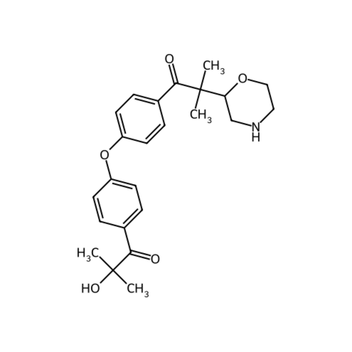 CC(C)(O)C(=O)c1ccc(Oc2ccc(C(=O)C(C)(C)C3CNCCO3)cc2)cc1